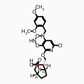 COc1ccc(Cn2o[nH]oc3c(OC[C@H]4NC[C@H]5CC[C@@H]4N5C(=O)O)nc(Cl)cc32)c(OC)c1